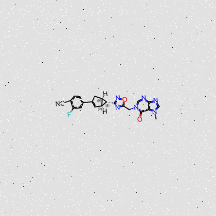 Cn1cnc2ncn(Cc3nc([C@@H]4[C@H]5C=C(c6ccc(C#N)c(F)c6)C[C@H]54)no3)c(=O)c21